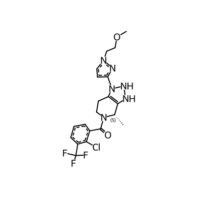 COCCn1ccc(N2NNC3=C2CCN(C(=O)c2cccc(C(F)(F)F)c2Cl)[C@H]3C)n1